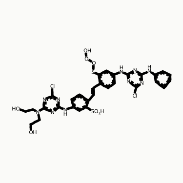 O=S(=O)(O)c1cc(Nc2nc(Cl)nc(N(CCO)CCO)n2)ccc1/C=C/c1ccc(Nc2nc(Cl)nc(Nc3ccccc3)n2)cc1SOOO